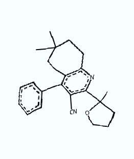 CC1(C)CCc2nc(C3(C)CCCO3)c(C#N)c(-c3ccccc3)c2C1